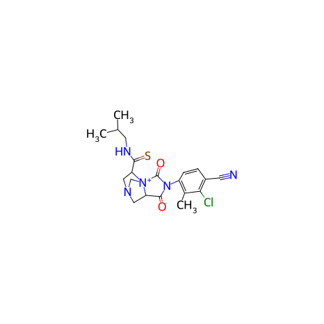 Cc1c(N2C(=O)C3CN4CC(C(=S)NCC(C)C)[N+]3(C4)C2=O)ccc(C#N)c1Cl